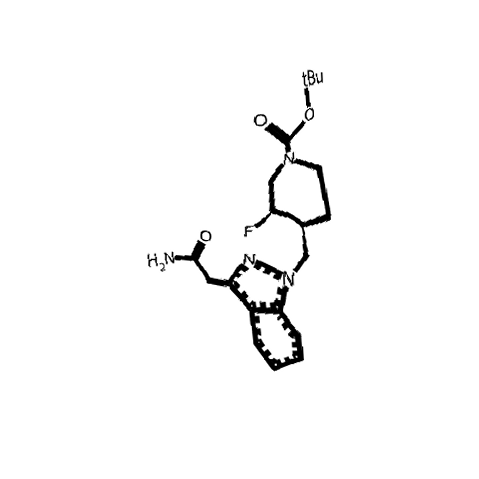 CC(C)(C)OC(=O)N1CC[C@@H](Cn2nc(CC(N)=O)c3ccccc32)[C@@H](F)C1